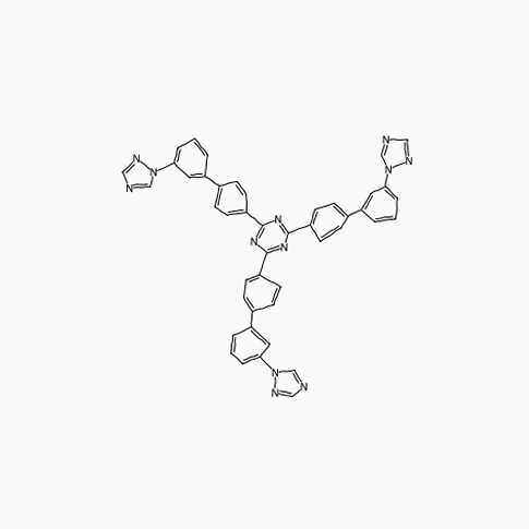 c1cc(-c2ccc(-c3nc(-c4ccc(-c5cccc(-n6cncn6)c5)cc4)nc(-c4ccc(-c5cccc(-n6cncn6)c5)cc4)n3)cc2)cc(-n2cncn2)c1